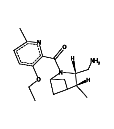 CCOc1ccc(C)nc1C(=O)N1C2CC(C2)[C@@H](C)[C@H]1CN